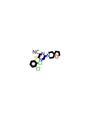 N#Cc1nc(N2CCC3(CCCO3)CC2)cnc1Sc1cccc(Cl)c1Cl